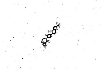 Cc1cc(C2C=Cc3nc(C(F)(F)F)ccc3N2)ccc1N1CCOc2nn(C)nc2C1=O